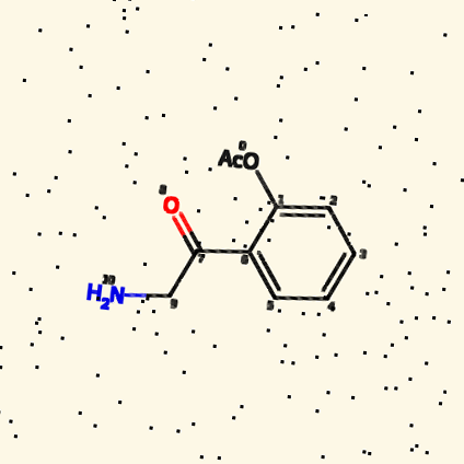 CC(=O)Oc1ccccc1C(=O)CN